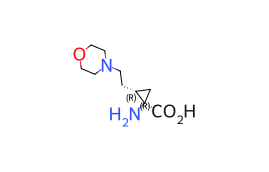 N[C@]1(C(=O)O)C[C@H]1CCN1CCOCC1